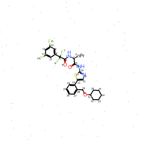 CCC[C@H](NC(=O)C(F)(F)c1cc(F)cc(F)c1)C(=O)Nc1ncc(-c2ccccc2COC2CCCCC2)s1